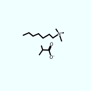 CC(C)C(=O)[O-].CCCCCCC[N+](C)(C)C